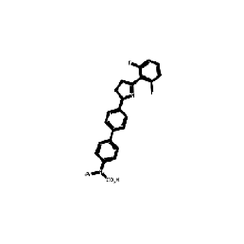 CCCN(C(=O)O)c1ccc(-c2ccc(C3CCC(c4c(F)cccc4F)=N3)cc2)cc1